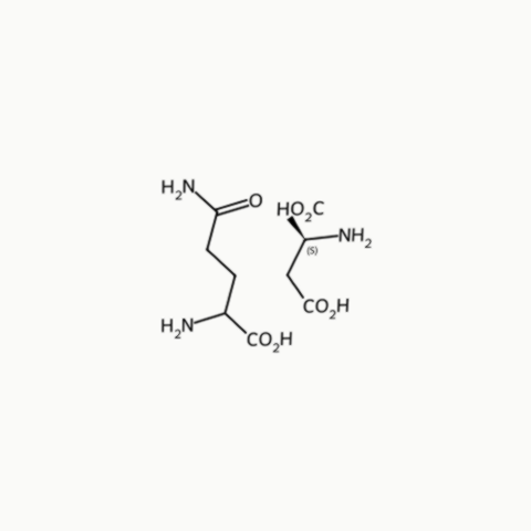 NC(=O)CCC(N)C(=O)O.N[C@@H](CC(=O)O)C(=O)O